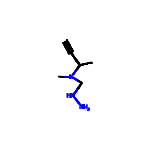 C#CC(C)N(C)CNN